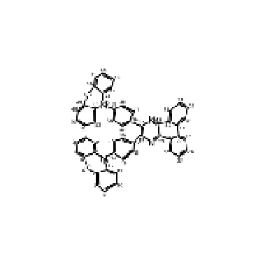 c1ccc2c(c1)Sc1ccccc1N2c1ccc(-c2nc3c4ccccc4c4ccccc4c3nc2-c2ccc(N3c4ccccc4Sc4ccccc43)cc2)cc1